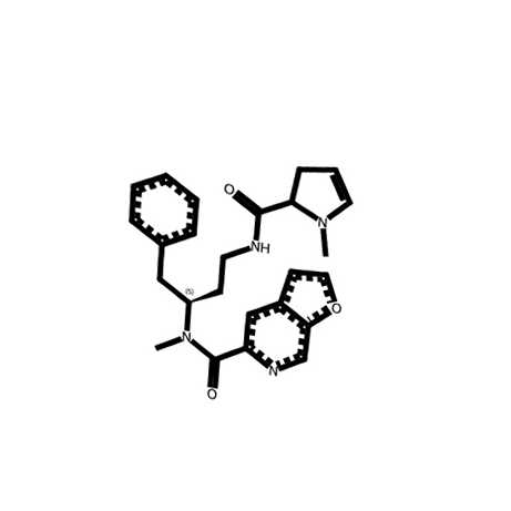 CN1C=CCC1C(=O)NCC[C@H](Cc1ccccc1)N(C)C(=O)c1cc2ccoc2cn1